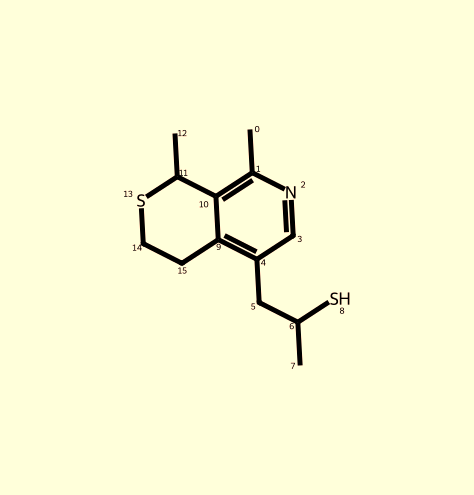 Cc1ncc(CC(C)S)c2c1C(C)SCC2